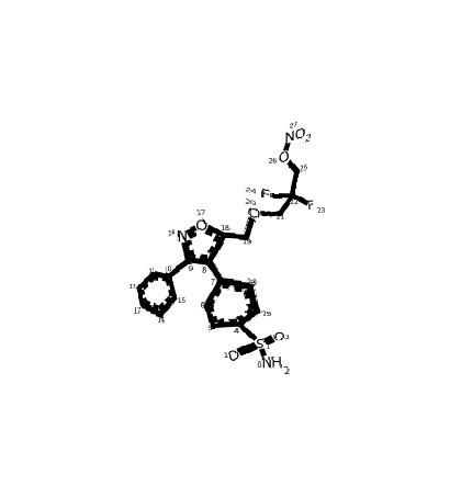 NS(=O)(=O)c1ccc(-c2c(-c3ccccc3)noc2COCC(F)(F)CO[N+](=O)[O-])cc1